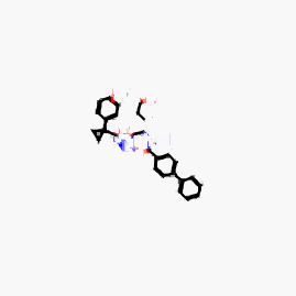 O=C(O)CC[C@H](NC(=O)c1ccc(-c2ccccc2)cc1)c1nnc(C2(c3ccccc3)CC2)o1